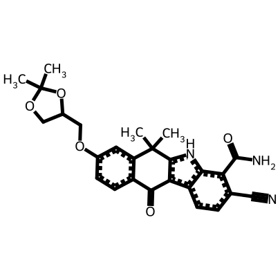 CC1(C)OCC(COc2ccc3c(c2)C(C)(C)c2[nH]c4c(C(N)=O)c(C#N)ccc4c2C3=O)O1